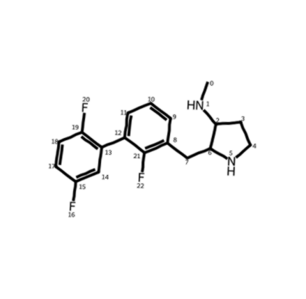 CNC1CCNC1Cc1cccc(-c2cc(F)ccc2F)c1F